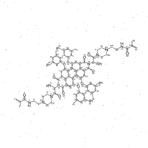 C=C(C)C(=O)NCCN1CCN(C(=O)C(CCC)N2C(=O)c3cc(Oc4cc(C)cc(C(C)C)c4)c4c5c(Oc6cc(C)cc(C(C)C)c6)cc6c7c(cc(Oc8cc(C)cc(C(C)C)c8)c(c8c(Oc9cc(C)cc(C(C)C)c9)cc(c3c48)C2=O)c75)C(=O)N(C(CCC)C(=O)N2CCN(CCNC(=O)C(=C)C)CC2)C6=O)CC1